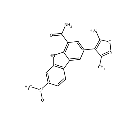 Cc1noc(C)c1-c1cc(C(N)=O)c2[nH]c3cc([S+](C)[O-])ccc3c2c1